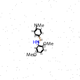 CNc1ccc(SNc2cc(OC)ccc2OC)cc1